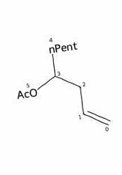 C=CCC(CCCCC)OC(C)=O